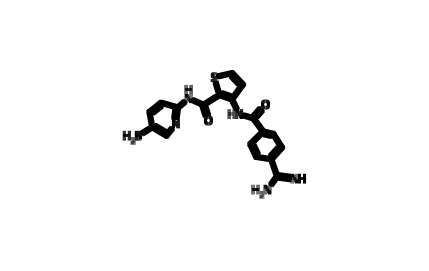 Bc1ccc(NC(=O)c2sccc2NC(=O)c2ccc(C(=N)N)cc2)nc1